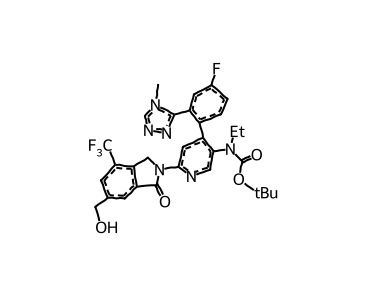 CCN(C(=O)OC(C)(C)C)c1cnc(N2Cc3c(cc(CO)cc3C(F)(F)F)C2=O)cc1-c1ccc(F)cc1-c1nncn1C